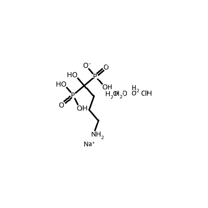 Cl.NCCCC(O)(P(=O)([O-])O)P(=O)(O)O.O.O.O.[Na+]